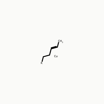 CC=CC[CH2][K].[Cu]